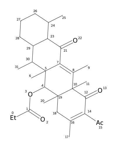 CCC(=O)OC1C2(C)C(=C(C)C3(C)C(=O)C(C(C)=O)=C(C)CC13C)C(=O)C1C(C)CCCC1C2C